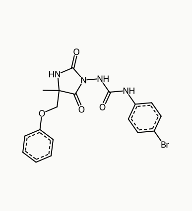 CC1(COc2ccccc2)NC(=O)N(NC(=O)Nc2ccc(Br)cc2)C1=O